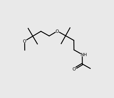 COC(C)(C)CCOC(C)(C)CCNC(C)=O